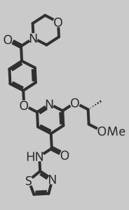 COC[C@@H](C)Oc1cc(C(=O)Nc2nccs2)cc(Oc2ccc(C(=O)N3CCOCC3)cc2)n1